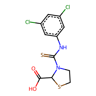 O=C(O)C1SCCN1C(=S)Nc1cc(Cl)cc(Cl)c1